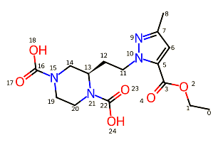 CCOC(=O)c1cc(C)nn1CC[C@@H]1CN(C(=O)O)CCN1C(=O)O